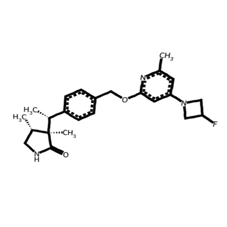 Cc1cc(N2CC(F)C2)cc(OCc2ccc([C@@H](C)[C@@]3(C)C(=O)NC[C@@H]3C)cc2)n1